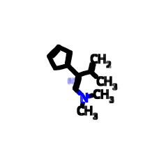 C=C(C)/C(=C\N(C)C)C1=CC=CC1